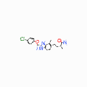 Cc1c(CCC(C)C(=O)N(C)C)ccc2[nH]c(COc3ccc(Cl)cc3)nc12